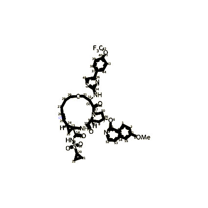 COc1ccc2c(O[C@@H]3C[C@H]4C(=O)N[C@]5(C(=O)NS(=O)(=O)C6CC6)C[C@H]5/C=C\CCCCC[C@H](Nc5nc(-c6ccc(OC(F)(F)F)cc6)cs5)C(=O)N4C3)nccc2c1